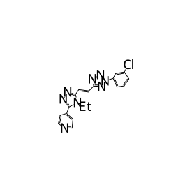 CCn1c(C=Cc2nnn(-c3cccc(Cl)c3)n2)nnc1-c1ccncc1